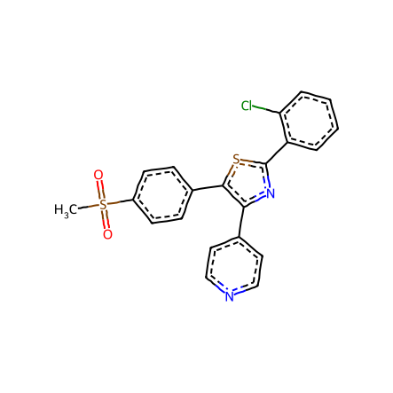 CS(=O)(=O)c1ccc(-c2sc(-c3ccccc3Cl)nc2-c2ccncc2)cc1